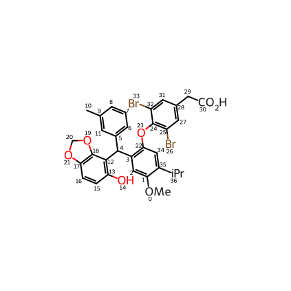 COc1cc(C(c2cccc(C)c2)c2c(O)ccc3c2OCO3)c(Oc2c(Br)cc(CC(=O)O)cc2Br)cc1C(C)C